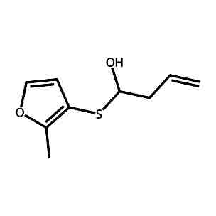 C=CCC(O)Sc1ccoc1C